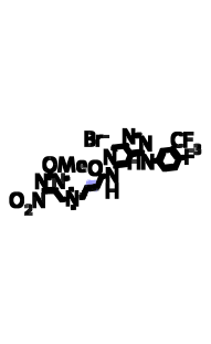 COc1nc([N+](=O)[O-])c(C[N+](C)(C)C/C=C/C(=O)Nc2cc3c(Nc4ccc(F)c(C(F)(F)F)c4)ncnc3cn2)n1C.[Br-]